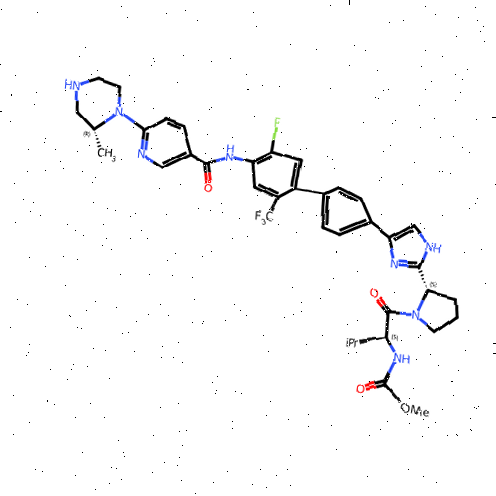 COC(=O)N[C@H](C(=O)N1CCC[C@H]1c1nc(-c2ccc(-c3cc(F)c(NC(=O)c4ccc(N5CCNC[C@H]5C)nc4)cc3C(F)(F)F)cc2)c[nH]1)C(C)C